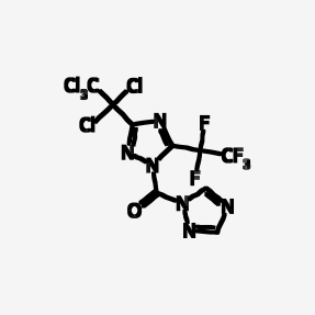 O=C(n1cncn1)n1nc(C(Cl)(Cl)C(Cl)(Cl)Cl)nc1C(F)(F)C(F)(F)F